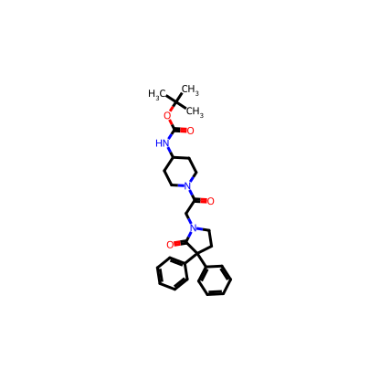 CC(C)(C)OC(=O)NC1CCN(C(=O)CN2CCC(c3ccccc3)(c3ccccc3)C2=O)CC1